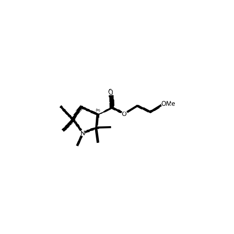 COCCOC(=O)[C@@H]1CC(C)(C)N(C)C1(C)C